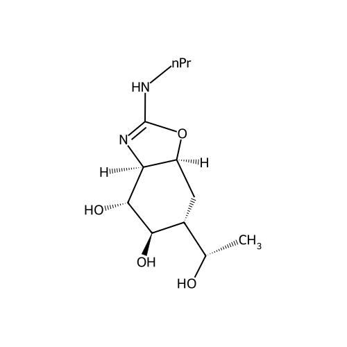 CCCNC1=N[C@@H]2[C@@H](O)[C@H](O)[C@@H]([C@H](C)O)C[C@@H]2O1